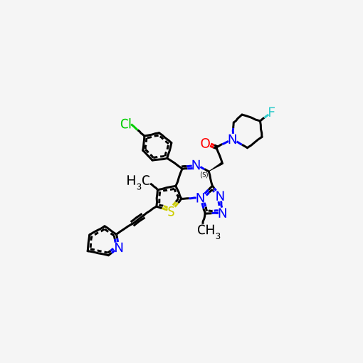 Cc1c(C#Cc2ccccn2)sc2c1C(c1ccc(Cl)cc1)=N[C@@H](CC(=O)N1CCC(F)CC1)c1nnc(C)n1-2